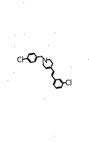 Clc1ccc(CN2CC=C(C=Cc3cccc(Cl)c3)CC2)cc1